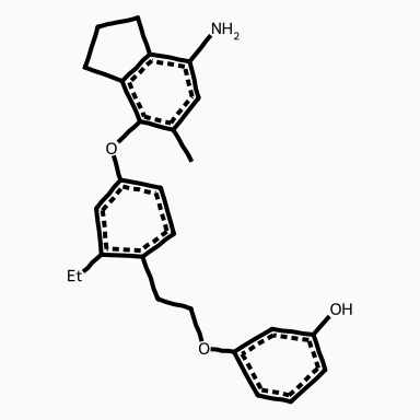 CCc1cc(Oc2c(C)cc(N)c3c2CCC3)ccc1CCOc1cccc(O)c1